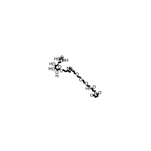 O=C(CCN1C(=O)C=CC1=O)NCCOCCOCCOCCn1cc(CCO[C@H]2O[C@H](CCP(=O)(O)O)[C@@H](O)[C@H](O)[C@@H]2O)nn1